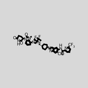 Cn1c(=O)n(C2CCC(=O)NC2=O)c2cccc(N3CC4(C3)N(C[C@H]3CC[C@H](n5cc6cc(NC(=O)c7cccc(C(F)(F)F)n7)c(C#N)cc6n5)CC3)CC4(F)F)c21